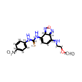 O=COCCNc1ccc(NC(=S)Nc2ccc([N+](=O)[O-])cc2)c2nonc12